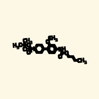 CCCCOC(=O)Nc1ccc(C2CCN(C(=O)OC(C)(C)C)CC2)c(OC)c1